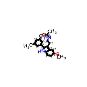 COc1ccc2[nH]c(-c3cc(C)cc(C)c3)c(CCNC(C)=O)c2c1